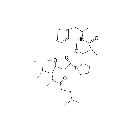 CC[C@@H](C)C(C(CC(=O)N1CCCC1C(OC)C(C)C(=O)NC(C)Cc1ccccc1)OC)N(C)C(=O)CCC(C)C